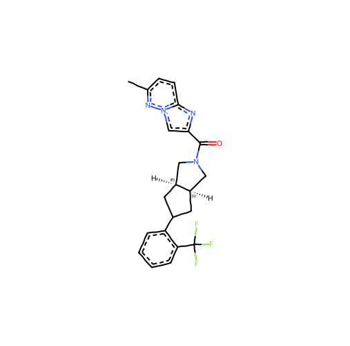 Cc1ccc2nc(C(=O)N3C[C@H]4CC(c5ccccc5C(F)(F)F)C[C@H]4C3)cn2n1